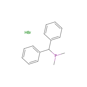 Br.CP(C)C(c1ccccc1)c1ccccc1